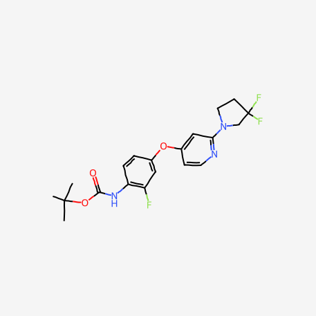 CC(C)(C)OC(=O)Nc1ccc(Oc2ccnc(N3CCC(F)(F)C3)c2)cc1F